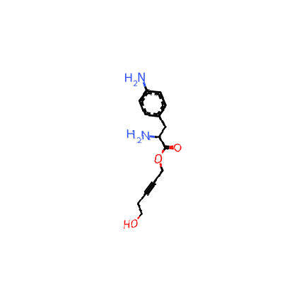 Nc1ccc(CC(N)C(=O)OCC#CCCO)cc1